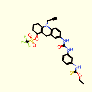 C#CCN1C2=C(Cc3cc(NC(=O)Nc4cccc(NC(=S)OCC)c4)ccc31)C(OS(=O)(=O)C(F)(F)F)CCC2